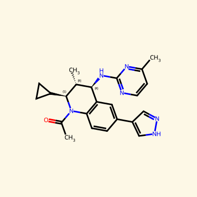 CC(=O)N1c2ccc(-c3cn[nH]c3)cc2[C@H](Nc2nccc(C)n2)[C@@H](C)[C@@H]1C1CC1